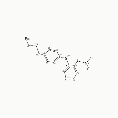 CN(C)Cc1ccccc1Sc1[c]cc(CCCF)cc1